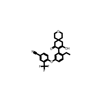 CCc1ccc(Oc2ccc(C#N)cc2C(F)(F)F)cc1C1=C(O)CC2(CCOCC2)CC1=O